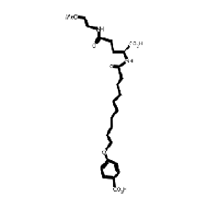 COCCNC(=O)CC[C@H](NC(=O)CCCCCCCCCOc1ccc(C(=O)O)cc1)C(=O)O